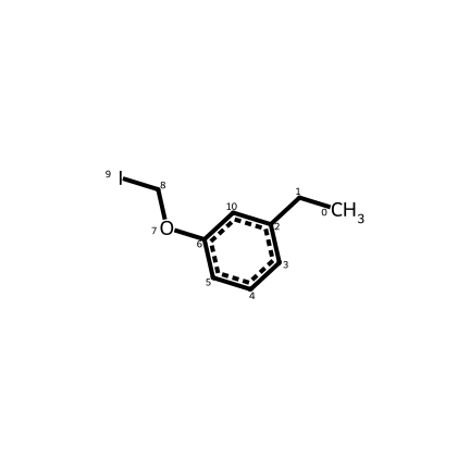 CCc1cccc(OCI)c1